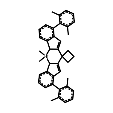 Cc1cccc(C)c1-c1cccc2c1C=C1[CH]2[Hf]([CH3])([CH3])[CH]2C(=Cc3c(-c4c(C)cccc4C)cccc32)C12CCC2